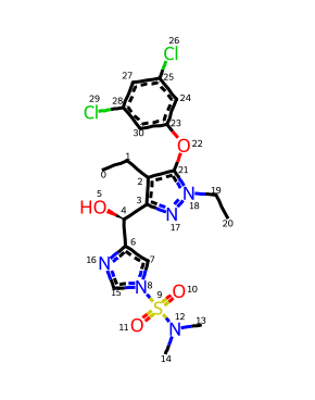 CCc1c([C@H](O)c2cn(S(=O)(=O)N(C)C)cn2)nn(CC)c1Oc1cc(Cl)cc(Cl)c1